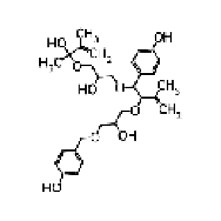 C=C(C)C(OCC(O)COCc1ccc(O)cc1)C(OCC(O)COC(C)(O)C(=C)C)c1ccc(O)cc1